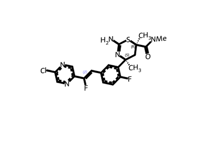 CNC(=O)[C@@]1(C)C[C@@](C)(c2cc(/C=C(\F)c3cnc(Cl)cn3)ccc2F)N=C(N)S1